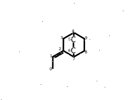 CC=C1CC2CCC1CC2